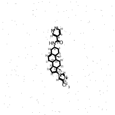 C[C@]12CC[C@H](NC(=O)c3ccnnc3)CC1=CCC1C2CC[C@]2(C)C(n3cnc(C(F)(F)F)c3)=CCC12